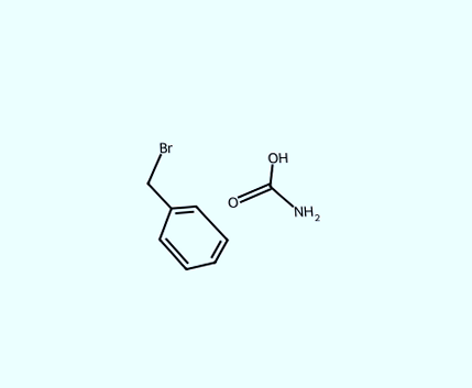 BrCc1ccccc1.NC(=O)O